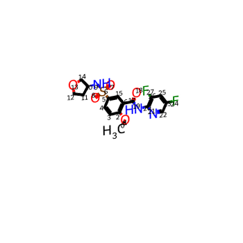 COc1ccc(S(=O)(=O)N[C@H]2CCOC2)cc1C(=O)Nc1ncc(F)cc1F